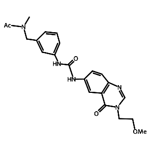 COCCn1cnc2ccc(NC(=O)Nc3cccc(CN(C)C(C)=O)c3)cc2c1=O